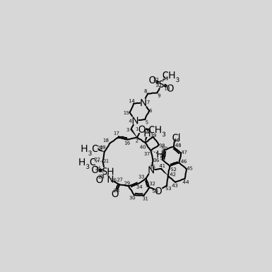 CO[C@@]1(CN2CCN(CCS(C)(=O)=O)CC2)/C=C/C[C@H](C)[C@@H](C)S(=O)(=O)NC(=O)c2ccc3c(c2)N(C[C@@H]2CC[C@H]21)C[C@@]1(CCCc2cc(Cl)ccc21)CO3